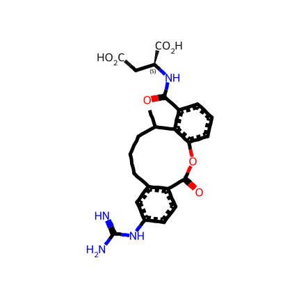 CC1CCCc2cc(NC(=N)N)ccc2C(=O)Oc2cccc(C(=O)N[C@@H](CC(=O)O)C(=O)O)c21